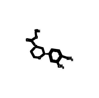 Cc1cc([C@H]2CN(C(=O)OC(C)(C)C)CCO2)ccc1N